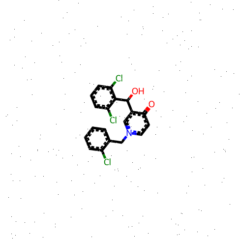 O=c1ccn(Cc2ccccc2Cl)cc1C(O)c1c(Cl)cccc1Cl